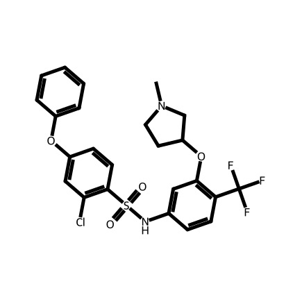 CN1CCC(Oc2cc(NS(=O)(=O)c3ccc(Oc4ccccc4)cc3Cl)ccc2C(F)(F)F)C1